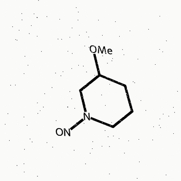 COC1CCCN(N=O)C1